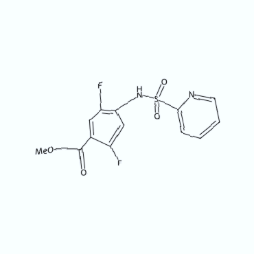 COC(=O)c1cc(F)c(NS(=O)(=O)c2ccccn2)cc1F